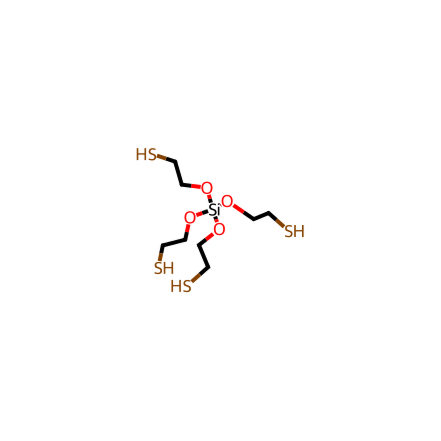 SCCO[Si](OCCS)(OCCS)OCCS